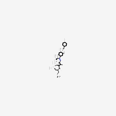 Cc1c(/C=C2\C(=O)Nc3cc(NCc4ccc(F)cc4)c(F)cc32)[nH]c2c1C(=O)C(CCN(C)C)CNC2